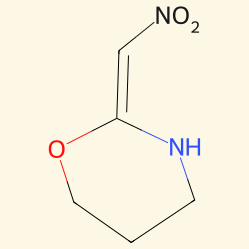 O=[N+]([O-])C=C1NCCCO1